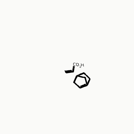 C1=C2CCC(C1)C2.C=CC(=O)O